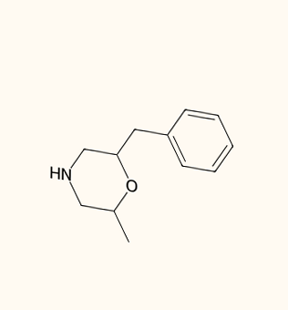 CC1CNCC(Cc2ccccc2)O1